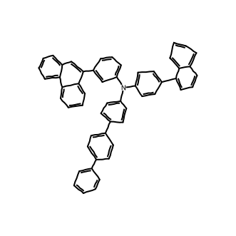 c1ccc(-c2ccc(-c3ccc(N(c4ccc(-c5cccc6ccccc56)cc4)c4cccc(-c5cc6ccccc6c6ccccc56)c4)cc3)cc2)cc1